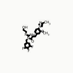 COc1cc(/C=C2\N/C(=N\CCO)N(Cc3cc(F)c(F)c(F)c3)C2=O)ccc1-n1cnc(C)c1